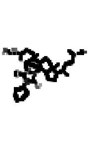 CC(=O)O[C@H]1CC[C@]2(C)C3CC[C@]4(C)C([C@H](C)/C=C/[C@H](C)C(C)C)CCC4[C@@]34C=C[C@@]2(C1)n1c(=O)n(-c2ccccc2)c(=O)n14